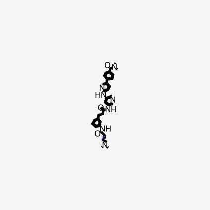 CN(C)C/C=C/C(=O)Nc1cccc(CCC(=O)Nc2cncc(Nc3ccc(-c4ccc(C(=O)N(C)C)cc4)cn3)c2)c1